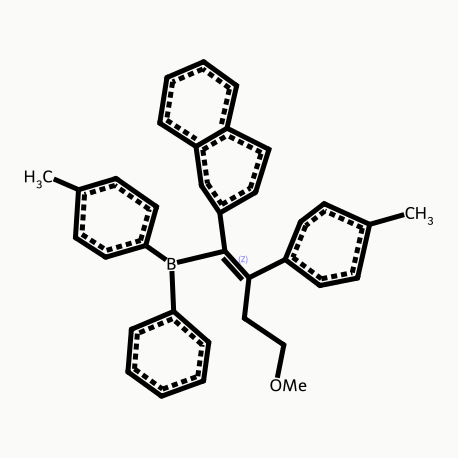 COCC/C(=C(\B(c1ccccc1)c1ccc(C)cc1)c1ccc2ccccc2c1)c1ccc(C)cc1